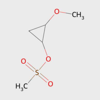 COC1CC1OS(C)(=O)=O